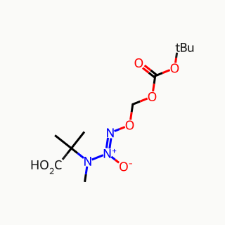 CN(/[N+]([O-])=N/OCOC(=O)OC(C)(C)C)C(C)(C)C(=O)O